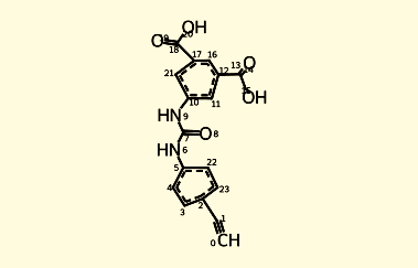 C#Cc1ccc(NC(=O)Nc2cc(C(=O)O)cc(C(=O)O)c2)cc1